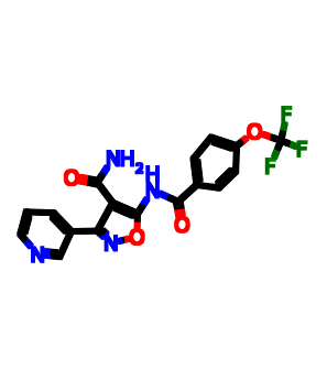 NC(=O)c1c(-c2cccnc2)noc1NC(=O)c1ccc(OC(F)(F)F)cc1